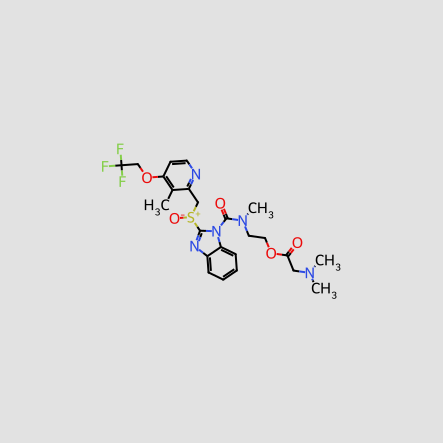 Cc1c(OCC(F)(F)F)ccnc1C[S+]([O-])c1nc2ccccc2n1C(=O)N(C)CCOC(=O)CN(C)C